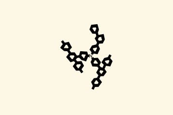 Cc1ccc(-c2ccc(-c3ccc(C)cc3)c(-c3ccc(N(c4ccc(-c5cccc(-c6ccccc6)c5)cc4)c4ccc(-c5cc(-c6ccc(C)cc6)ccc5-c5ccc(C)cc5)cc4)cc3)c2)cc1